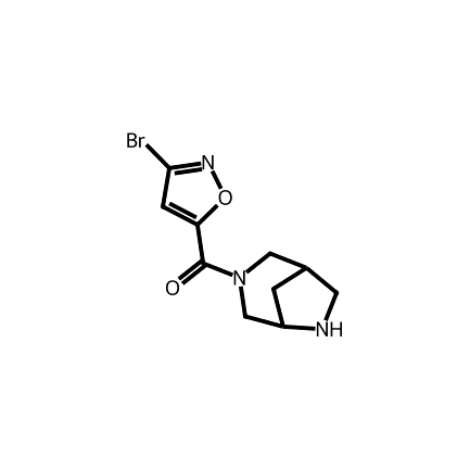 O=C(c1cc(Br)no1)N1CC2CNC(C2)C1